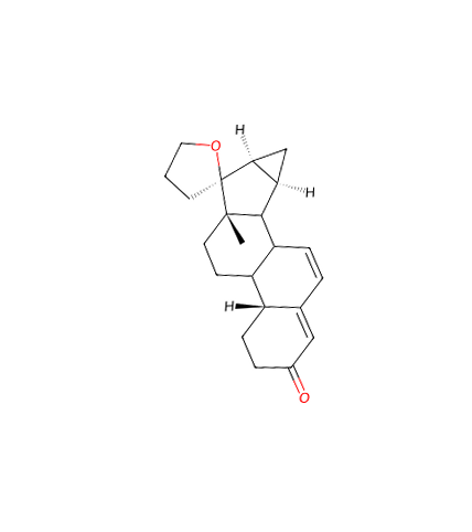 C[C@]12CCC3C(C=CC4=CC(=O)CC[C@@H]43)C1[C@@H]1C[C@@H]1[C@@]21CCCO1